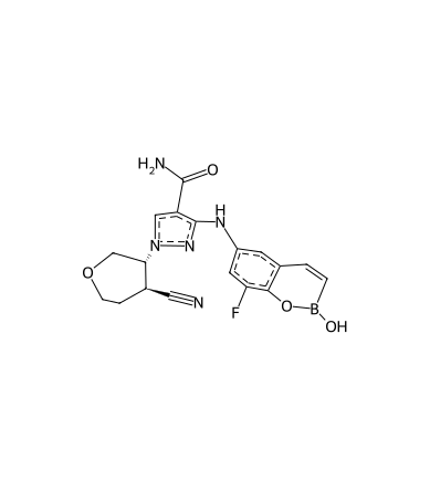 N#C[C@H]1CCOC[C@@H]1n1cc(C(N)=O)c(Nc2cc(F)c3c(c2)C=CB(O)O3)n1